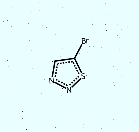 Brc1[c]nns1